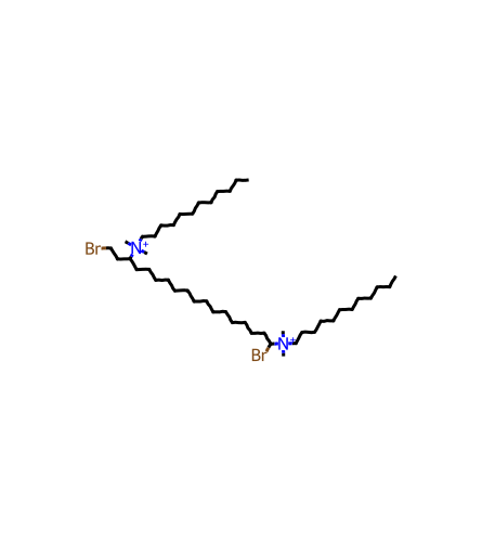 CCCCCCCCCCCC[N+](C)(C)C(Br)CCCCCCCCCCCCCCC(CCBr)[N+](C)(C)CCCCCCCCCCCC